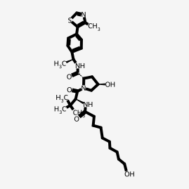 Cc1ncsc1-c1ccc([C@H](C)NC(=O)[C@@H]2C[C@@H](O)CN2C(=O)[C@@H](NC(=O)CCCCCCCCCO)C(C)(C)C)cc1